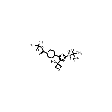 CC(C)(C)OC(=O)N1CCC(c2sc([Si](C)(C)C(C)(C)C)nc2C2(O)COC2)CC1